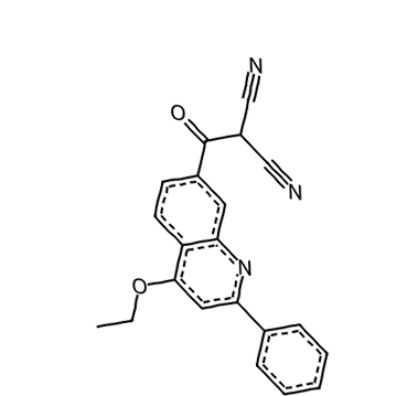 CCOc1cc(-c2ccccc2)nc2cc(C(=O)C(C#N)C#N)ccc12